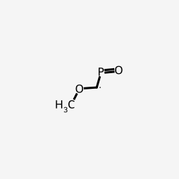 CO[CH]P=O